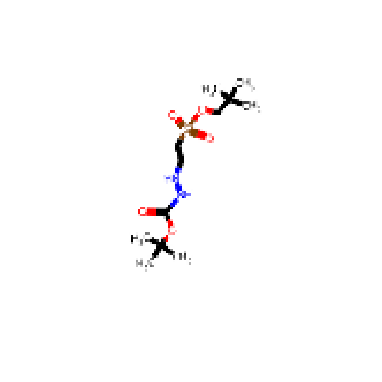 CC(C)(C)COS(=O)(=O)CCNNC(=O)OC(C)(C)C